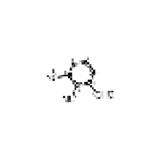 N#Cc1cccc(C=O)c1C#N